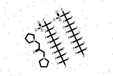 O=C(C[S+]1CCCC1)C[S+]1CCCC1.O=S(=O)([O-])C(F)(F)C(F)(F)C(F)(F)C(F)(F)C(F)(F)C(F)(F)C(F)(F)C(F)(F)F.O=S(=O)([O-])C(F)(F)C(F)(F)C(F)(F)C(F)(F)C(F)(F)C(F)(F)C(F)(F)C(F)(F)F